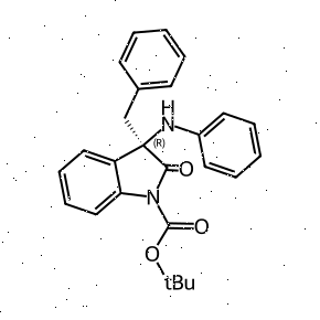 CC(C)(C)OC(=O)N1C(=O)[C@](Cc2ccccc2)(Nc2ccccc2)c2ccccc21